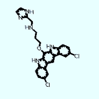 Clc1ccc2[nH]c3c(OCCCNCc4ncc[nH]4)c4[nH]c5ccc(Cl)cc5c4cc3c2c1